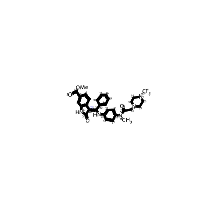 COC(=O)c1ccc2c(c1)NC(=O)/C2=C(\Nc1ccc(N(C)C(=O)CN2CCN(C(F)(F)F)CC2)cc1)c1ccccc1